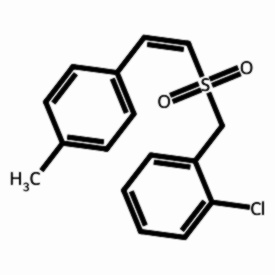 Cc1ccc(/C=C\S(=O)(=O)Cc2ccccc2Cl)cc1